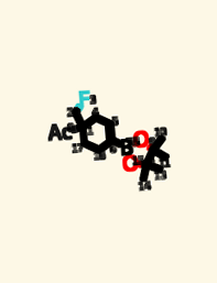 CC(=O)C1(CF)CC=C(B2OC(C)(C)C(C)(C)O2)CC1